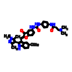 COc1ccc2[nH]c(-c3c(C)nn(C)c3C)c(C=C3Oc4ccc(NC(=O)Nc5ccc(NC(=O)CCN(C)C)cc5)cc4C3=O)c2c1